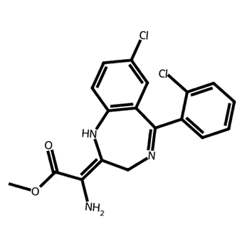 COC(=O)C(N)=C1CN=C(c2ccccc2Cl)c2cc(Cl)ccc2N1